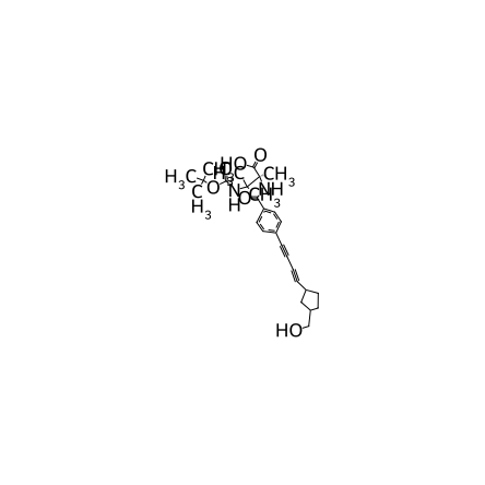 CC(C)(C)OC(=O)NC(C)(C)[C@](C)(NC(=O)c1ccc(C#CC#CC2CCC(CO)C2)cc1)C(=O)O